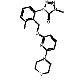 Cc1cccc(-n2nnn(C)c2=O)c1COc1cccc(N2CCOCC2)n1